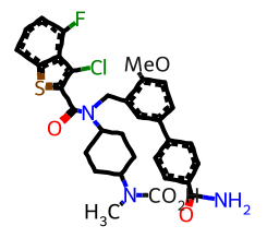 COc1ccc(-c2ccc(C(N)=O)cc2)cc1CN(C(=O)c1sc2cccc(F)c2c1Cl)C1CCC(N(C)C(=O)O)CC1